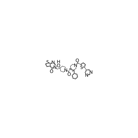 O=C(c1ccc(-c2cncnc2)s1)N1CC[C@@H](C(=O)N2CCC(O)(Cn3cnc4sccc4c3=O)CC2)[C@H](c2ccccc2)C1